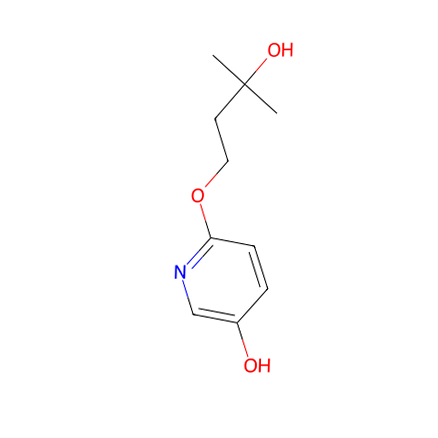 CC(C)(O)CCOc1ccc(O)cn1